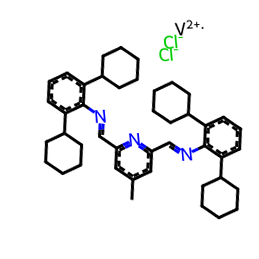 Cc1cc(C=Nc2c(C3CCCCC3)cccc2C2CCCCC2)nc(C=Nc2c(C3CCCCC3)cccc2C2CCCCC2)c1.[Cl-].[Cl-].[V+2]